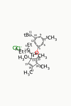 CC[Si](CC)=[Ti+2]([O]c1cc(C)cc(C(C)(C)C)c1)[C]1(C)C=C(C)C(C)=C1C.[Cl-].[Cl-]